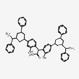 CC(c1ccccc1)C1CC(c2ccccc2)CC(c2ccc(C(C(=O)O)c3ccc(C4CC(c5ccccc5)CC(C(C)c5ccccc5)C4)cc3O)c(O)c2)C1